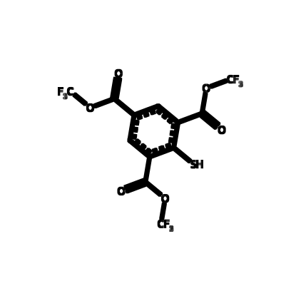 O=C(OC(F)(F)F)c1cc(C(=O)OC(F)(F)F)c(S)c(C(=O)OC(F)(F)F)c1